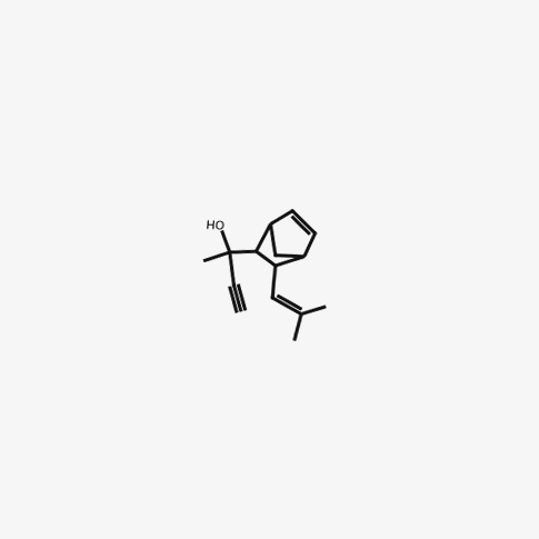 C#CC(C)(O)C1C2C=CC(C2)C1C=C(C)C